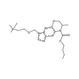 CCCCOC(=O)N1c2cc3ccn(COCC[Si](C)(C)C)c3nc2OCC1C